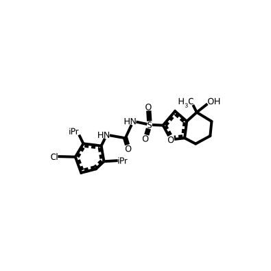 CC(C)c1ccc(Cl)c(C(C)C)c1NC(=O)NS(=O)(=O)c1cc2c(o1)CCCC2(C)O